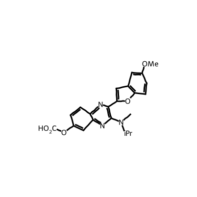 COc1ccc2oc(-c3nc4ccc(OC(=O)O)cc4nc3N(C)C(C)C)cc2c1